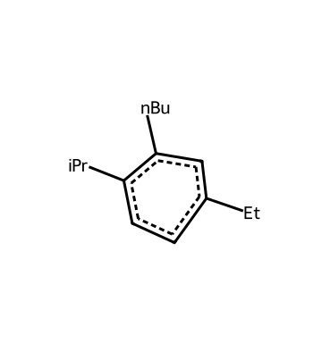 CCCCc1cc(CC)ccc1C(C)C